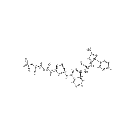 Cc1ccc(-n2nc(C(C)(C)C)cc2NC(=O)Nc2ccc(Oc3ccnc(NC(=O)CNC(=O)CS(C)(=O)=O)c3)c3ccccc23)cc1